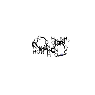 Nc1nc2nc3c1nc(O)n3Cc1cc(Nc3nc4nc5c3nc(O)n5Cc3ncccc3OCCCCCO4)cc(n1)OC/C=C/CCCO2